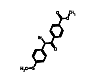 COC(=O)c1ccc(C(=O)C(Br)c2ccc(SC)cc2)cc1